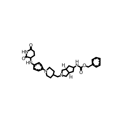 O=C1CCC(Nc2ccc(N3CCC(CN4C[C@H]5CC(NC(=O)OCc6ccccc6)C[C@H]5C4)CC3)cc2)C(=O)N1